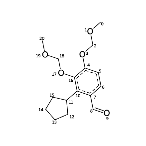 COCOc1ccc(C=O)c(C2CCCC2)c1OCOC